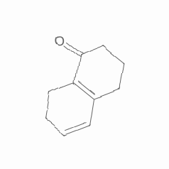 O=C1CCCC2=C1CCC=C2